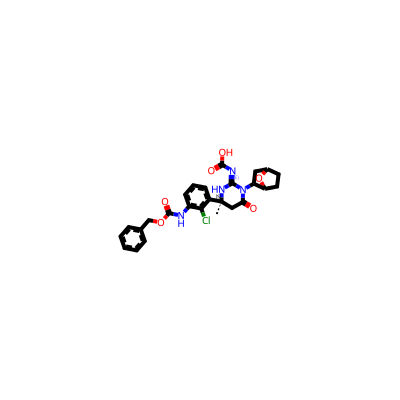 C[C@@]1(c2cccc(NC(=O)OCc3ccccc3)c2Cl)CC(=O)N(C2CC3CCC2O3)/C(=N/C(=O)O)N1